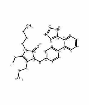 CCCCn1c(CF)c(CCC)n(Cc2ccc(-c3ccccc3-c3nnn[nH]3)cc2)c1=O